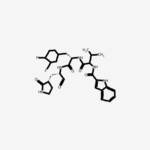 CC(C)C(NC(=O)c1cc2ccccc2[nH]1)C(=O)N[C@@H](CC1CCC(F)C(F)C1)C(=O)N[C@H](C=O)C[C@@H]1CCNC1=O